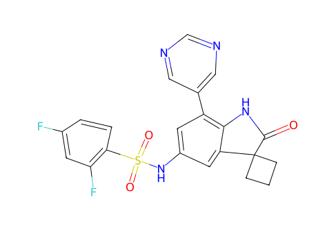 O=C1Nc2c(-c3cncnc3)cc(NS(=O)(=O)c3ccc(F)cc3F)cc2C12CCC2